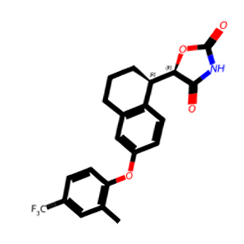 Cc1cc(C(F)(F)F)ccc1Oc1ccc2c(c1)CCC[C@H]2[C@H]1OC(=O)NC1=O